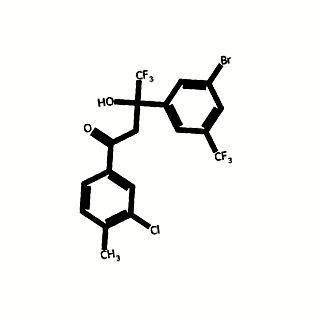 Cc1ccc(C(=O)CC(O)(c2cc(Br)cc(C(F)(F)F)c2)C(F)(F)F)cc1Cl